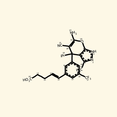 Cc1n[nH]c2c1C(c1cc(C=CCCC(=O)O)cc(C(F)(F)F)c1)(C(C)C)C(C#N)=C(N)O2